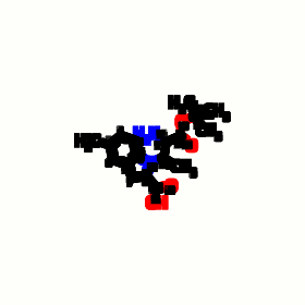 Cc1ccc2c(c1)cc(C(=O)O)n2[C@H](C)[C@@H](N)C(=O)OC(C)(C)C